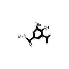 C=C(C)c1cc(C(=O)OC)cc(C(C)(C)C)c1O